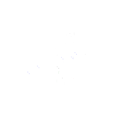 CCOC(=O)n1nc(NC(=O)c2ccc(N3CCN(C)CC3)cc2[N+](=O)[O-])c2cc(C(=O)O)sc21.O=C(O)C(F)(F)F